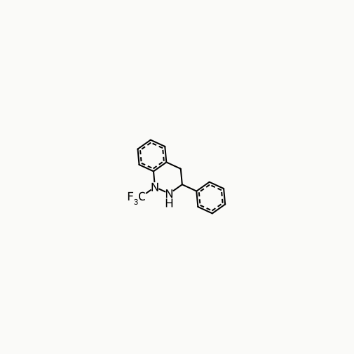 FC(F)(F)N1NC(c2ccccc2)Cc2ccccc21